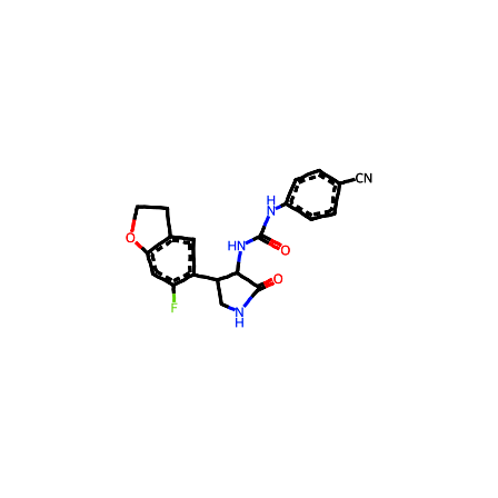 N#Cc1ccc(NC(=O)NC2C(=O)NCC2c2cc3c(cc2F)OCC3)cc1